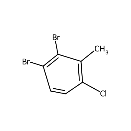 Cc1c(Cl)ccc(Br)c1Br